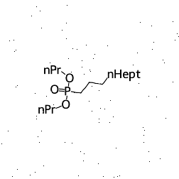 CCCCCCCCCCP(=O)(OCCC)OCCC